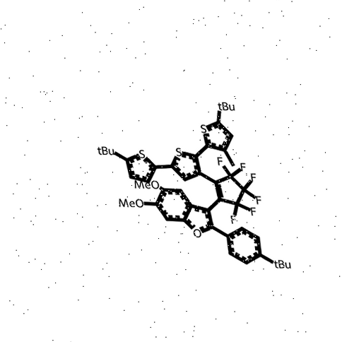 COc1cc2oc(-c3ccc(C(C)(C)C)cc3)c(C3=C(c4cc(-c5ccc(C(C)(C)C)s5)sc4-c4sc(C(C)(C)C)cc4C)C(F)(F)C(F)(F)C3(F)F)c2cc1OC